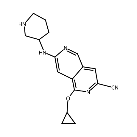 N#Cc1cc2cnc(NC3CCCNC3)cc2c(OC2CC2)n1